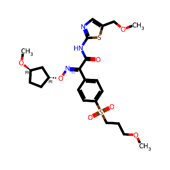 COCCCS(=O)(=O)c1ccc(/C(=N\O[C@@H]2CC[C@@H](OC)C2)C(=O)Nc2ncc(COC)s2)cc1